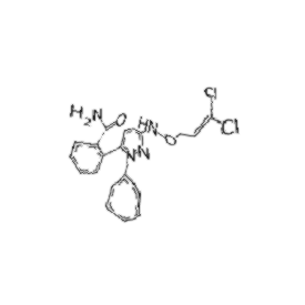 NC(=O)c1ccccc1-c1cc(NOCC=C(Cl)Cl)nn1-c1ccccc1